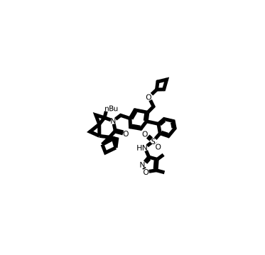 CCCCC12CC13CC3C1(CC3CC1C3)C(=O)N2Cc1ccc(-c2ccccc2S(=O)(=O)Nc2noc(C)c2C)c(COC2CCC2)c1